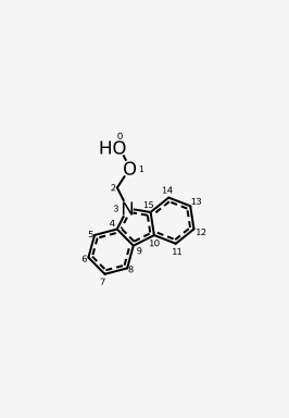 OOCn1c2ccccc2c2ccccc21